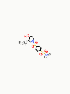 CCOC(=O)C1=C(O)CCN(S(=O)(=O)c2ccc(S(=O)(=O)N(CC)CC)cc2)C1